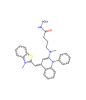 CCCCCCCCNC(=O)CCCN(C)C1=C/C(=C\c2sc3ccccc3[n+]2C)c2ccccc2N1c1ccccc1